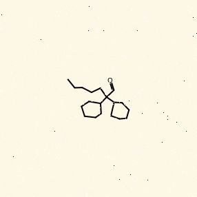 CCCCCC(C=O)(C1CCCCC1)C1CCCCC1